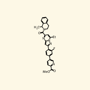 CCc1cc(C(=O)N2CCc3ccccc3C2C)nc2cc(-c3ccc(-c4ccc(C(=O)OC)nc4)cc3F)nn12